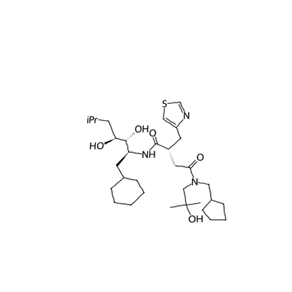 CC(C)C[C@H](O)[C@H](O)[C@H](CC1CCCCC1)NC(=O)[C@@H](CC(=O)N(CC1CCCC1)CC(C)(C)O)Cc1cscn1